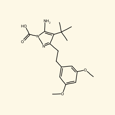 COc1cc(CCc2nn(C(=O)O)c(N)c2C(C)(C)C)cc(OC)c1